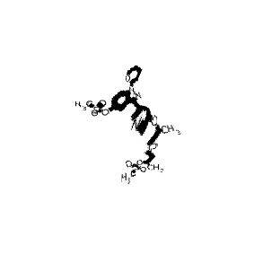 C[C@H](CCOC[C@H](C)Oc1cncc(-c2nn(C3CCCCO3)c3ccc(OS(C)(=O)=O)cc23)c1)OS(C)(=O)=O